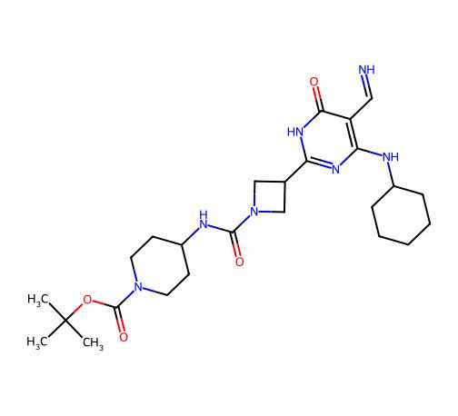 CC(C)(C)OC(=O)N1CCC(NC(=O)N2CC(c3nc(NC4CCCCC4)c(C=N)c(=O)[nH]3)C2)CC1